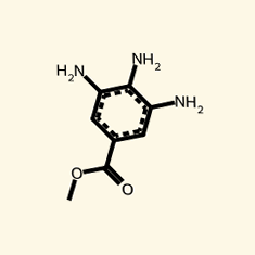 COC(=O)c1cc(N)c(N)c(N)c1